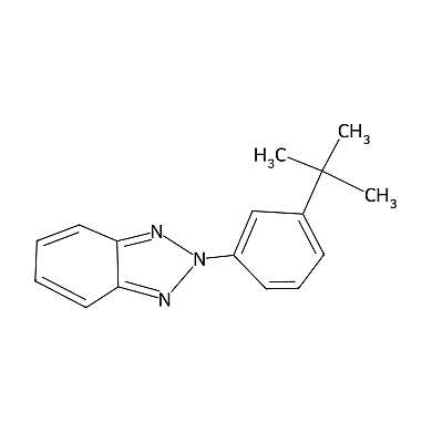 CC(C)(C)c1cccc(-n2nc3ccccc3n2)c1